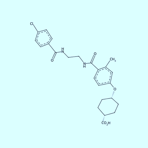 Cc1cc(O[C@H]2CC[C@@H](C(=O)O)CC2)ccc1C(=O)NCCNC(=O)c1ccc(Cl)cc1